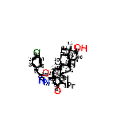 CC(C)C1=C2[C@H]3CC[C@@H]4[C@@]5(C)CC[C@H](O)C(C)(C)[C@@H]5CC[C@@]4(C)[C@]3(C)CC[C@@]2(c2nnc(Cc3ccc(Cl)cc3)o2)CC1=O